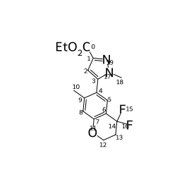 CCOC(=O)c1cc(-c2cc3c(cc2C)OCCC3(F)F)n(C)n1